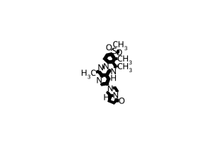 Cc1c([C@@H](C)Nc2nnc(C)c3ncc(N4CCN5C(=O)CC[C@@H]5C4)cc23)cccc1S(C)(=O)=O